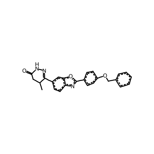 CC1CC(=O)NN=C1c1ccc2nc(-c3ccc(OCc4ccccc4)cc3)oc2c1